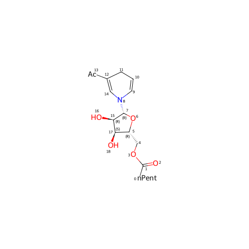 CCCCCC(=O)OC[C@H]1O[C@@H](N2C=CCC(C(C)=O)=C2)[C@H](O)[C@@H]1O